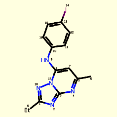 CCc1nc2nc(C)cc(Nc3ccc(I)cc3)n2n1